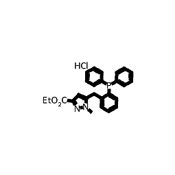 CCOC(=O)c1cc(Cc2ccccc2P(c2ccccc2)c2ccccc2)n(C)n1.Cl